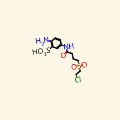 Nc1ccc(NC(=O)CCCS(=O)(=O)CCCl)cc1S(=O)(=O)O